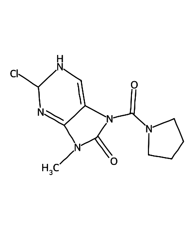 Cn1c2c(n(C(=O)N3CCCC3)c1=O)=CNC(Cl)N=2